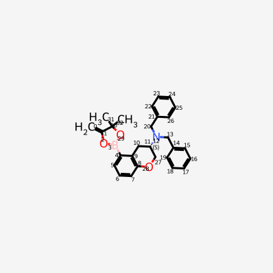 C=C1OB(c2cccc3c2C[C@H](N(Cc2ccccc2)Cc2ccccc2)CO3)OC1(C)C